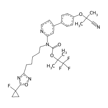 CC(C)(C#N)Oc1ccc(-c2ccnc(N(CCCCCc3noc(C4(F)CC4)n3)C(=O)OC(C)(C)C(F)(F)F)c2)cc1